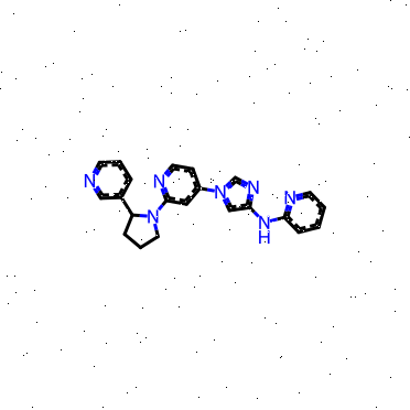 c1ccc(Nc2cn(-c3ccnc(N4CCCC4c4cccnc4)c3)cn2)nc1